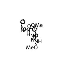 COCCNc1ncnn2c(-c3cnc(OC)c(C(=O)Nc4cnn(Cc5ccccc5)c4)c3)ccc12